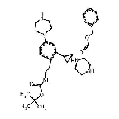 C1CNCCN1.CC(C)(C)OC(=O)NCCc1ccc(N2CCNCC2)cc1C1CC1.O=COCc1ccccc1